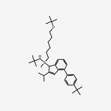 CC(C)C1=Cc2c(-c3ccc(C(C)(C)C)cc3)cccc2C1[Si](C)(CCCCCCOC(C)(C)C)NC(C)(C)C